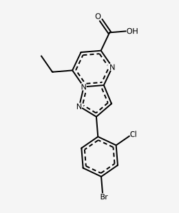 CCc1cc(C(=O)O)nc2cc(-c3ccc(Br)cc3Cl)nn12